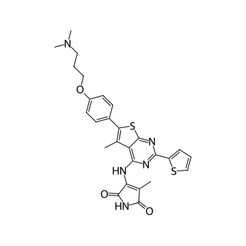 CC1=C(Nc2nc(-c3cccs3)nc3sc(-c4ccc(OCCCN(C)C)cc4)c(C)c23)C(=O)NC1=O